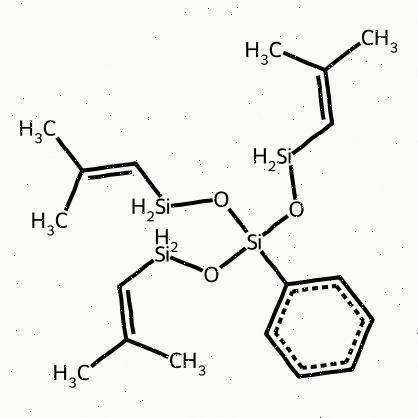 CC(C)=C[SiH2]O[Si](O[SiH2]C=C(C)C)(O[SiH2]C=C(C)C)c1ccccc1